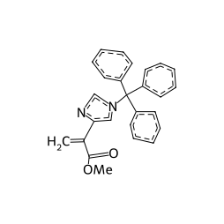 C=C(C(=O)OC)c1cn(C(c2ccccc2)(c2ccccc2)c2ccccc2)cn1